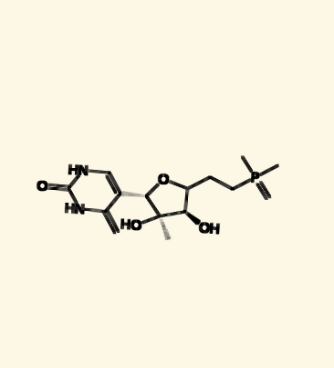 C=C1NC(=O)NC=C1[C@@H]1OC(CCP(=C)(C)C)[C@@H](O)[C@@]1(C)O